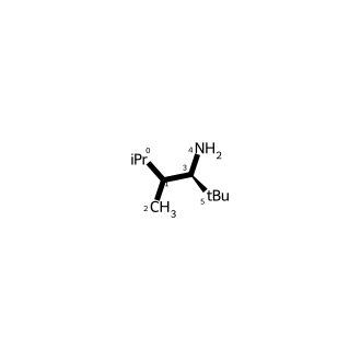 CC(C)C(C)[C@@H](N)C(C)(C)C